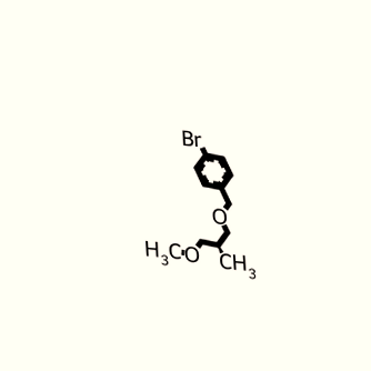 COC[C@H](C)COCc1ccc(Br)cc1